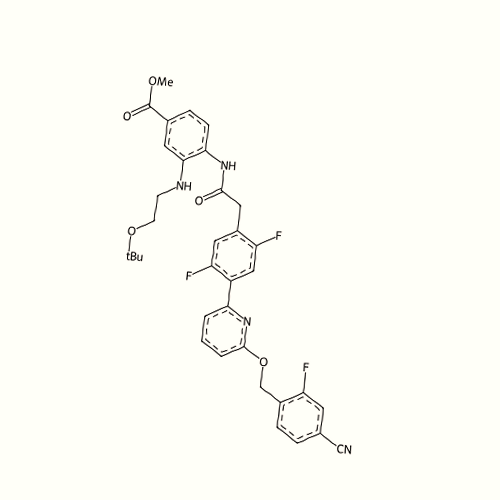 COC(=O)c1ccc(NC(=O)Cc2cc(F)c(-c3cccc(OCc4ccc(C#N)cc4F)n3)cc2F)c(NCCOC(C)(C)C)c1